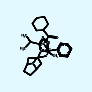 Cc1nnc(C(C)C)n1C1CC2CCC(C1)N2CC[C@H](NC(=O)C1CCCCC1)c1ccccc1